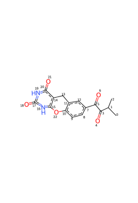 CC(C)C(=O)C(=O)c1ccc2c(c1)Cc1c([nH]c(=O)[nH]c1=O)O2